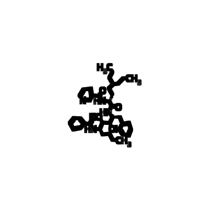 CCCC[C@@H](NC(=O)c1ccccc1)[C@@H](O)[C@H](O)[C@H](Cc1ccccc1)NC(=O)[C@@H](CCC(CCC)CCC)NC(=O)c1cccnc1